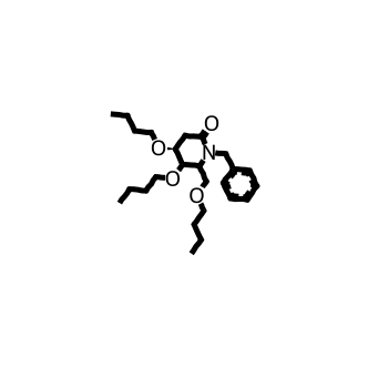 CCCCOCC1C(OCCCC)[C@H](OCCCC)CC(=O)N1Cc1ccccc1